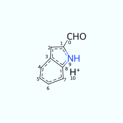 O=Cc1cc2ccccc2[nH]1.[H+]